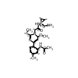 COC1C=C(c2ccc(C)cc2NC(C)=O)N=C(SC)N1CC(=O)N[PH]1(CN)CC1